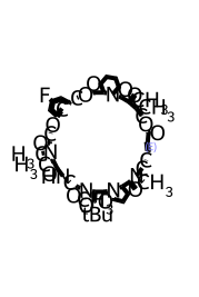 CC1C(=O)NCC(=O)N(C)C(COC(C)(C)C)C(=O)N2CCCC2C(=O)N(C)CC/C=C/C(=O)OCC(C)(C)C(=O)C(=O)N2CCCCC2C(=O)OCc2cc(F)cc(c2)OCC(=O)N1C